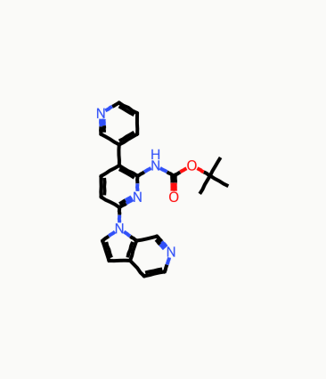 CC(C)(C)OC(=O)Nc1nc(-n2ccc3ccncc32)ccc1-c1cccnc1